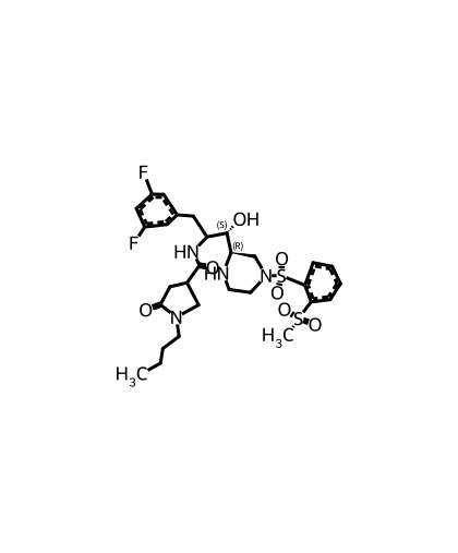 CCCCN1CC(C(=O)NC(Cc2cc(F)cc(F)c2)[C@H](O)[C@H]2CN(S(=O)(=O)c3ccccc3S(C)(=O)=O)CCN2)CC1=O